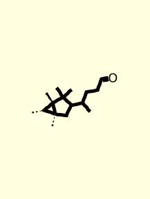 CC(CCC=O)C1C[C@@]2(C)[C@H](C)[C@]2(C)C1(C)C